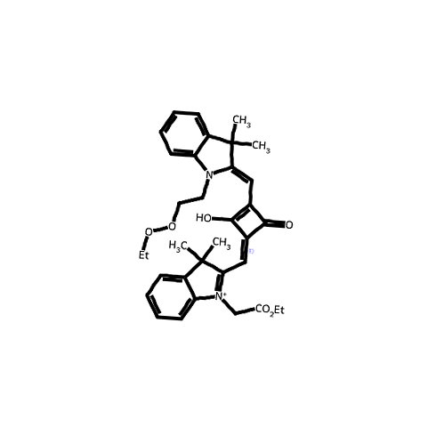 CCOOCCN1C(=CC2=C(O)/C(=C\C3=[N+](CC(=O)OCC)c4ccccc4C3(C)C)C2=O)C(C)(C)c2ccccc21